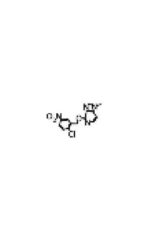 Cn1cnc2c(OCc3cc([N+](=O)[O-])ccc3Cl)nccc21